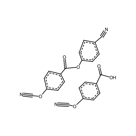 N#COc1ccc(C(=O)O)cc1.N#COc1ccc(C(=O)Oc2ccc(C#N)cc2)cc1